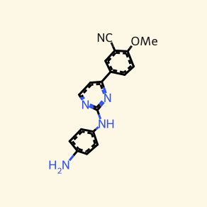 COc1ccc(-c2ccnc(Nc3ccc(N)cc3)n2)cc1C#N